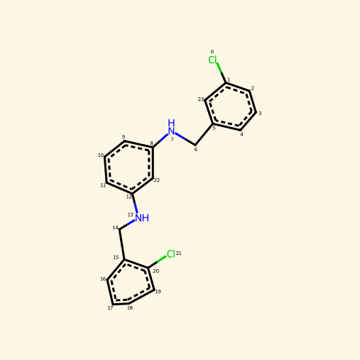 Clc1cccc(CNc2cccc(NCc3ccccc3Cl)c2)c1